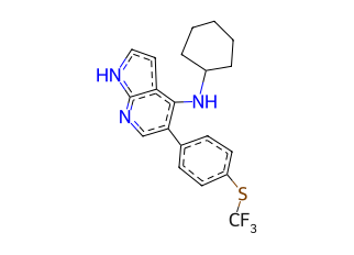 FC(F)(F)Sc1ccc(-c2cnc3[nH]ccc3c2NC2CCCCC2)cc1